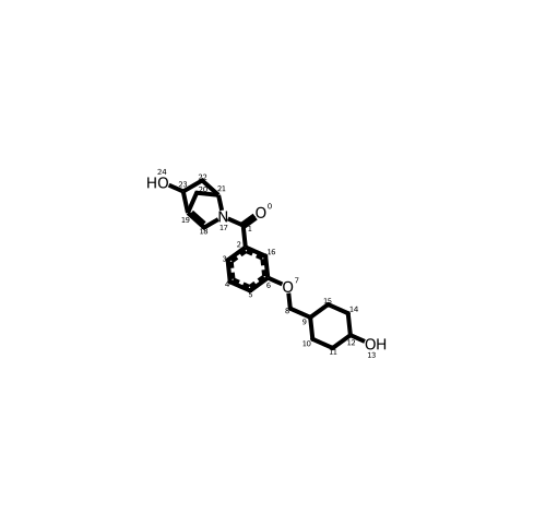 O=C(c1cccc(OCC2CCC(O)CC2)c1)N1C=C2CC1CC2O